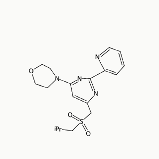 CC(C)CS(=O)(=O)Cc1cc(N2CCOCC2)nc(-c2ccccn2)n1